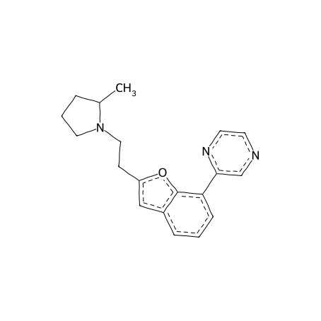 CC1CCCN1CCc1cc2cccc(-c3cnccn3)c2o1